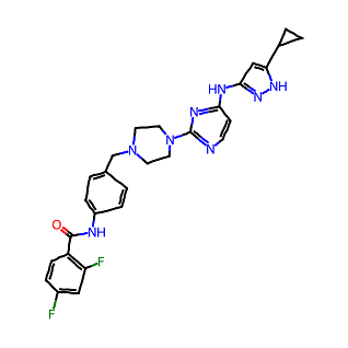 O=C(Nc1ccc(CN2CCN(c3nccc(Nc4cc(C5CC5)[nH]n4)n3)CC2)cc1)c1ccc(F)cc1F